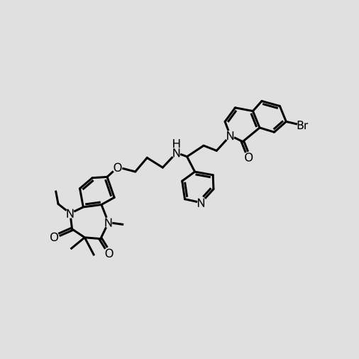 CCN1C(=O)C(C)(C)C(=O)N(C)c2cc(OCCCNC(CCn3ccc4ccc(Br)cc4c3=O)c3ccncc3)ccc21